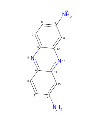 Nc1ccc2nc3ccc(N)cc3nc2c1